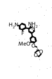 COc1cc(-c2cnc(N)c(-c3ccc(N)cc3F)c2)ccc1OC[C@H]1COCCO1